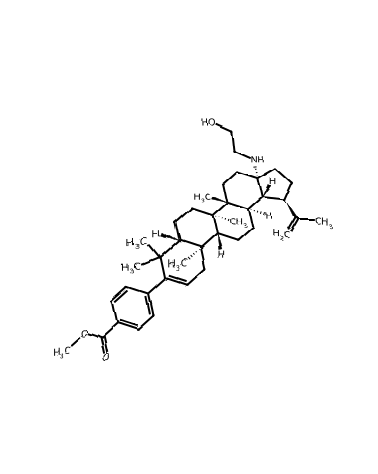 C=C(C)[C@@H]1CC[C@]2(NCCO)CC[C@]3(C)[C@H](CC[C@@H]4[C@@]5(C)CC=C(c6ccc(C(=O)OC)cc6)C(C)(C)[C@@H]5CC[C@]43C)[C@@H]12